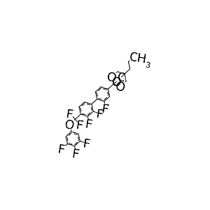 CCCC12COC(c3ccc(-c4ccc(C(F)(F)Oc5cc(F)c(F)c(F)c5)c(F)c4F)c(F)c3)(OC1)OC2